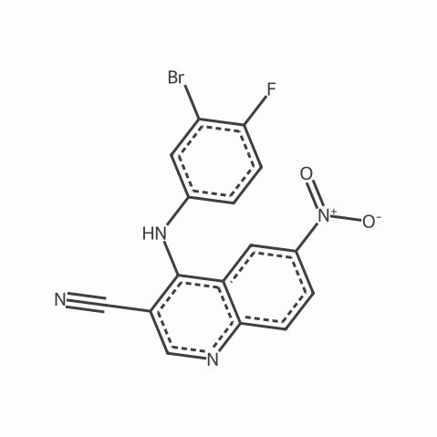 N#Cc1cnc2ccc([N+](=O)[O-])cc2c1Nc1ccc(F)c(Br)c1